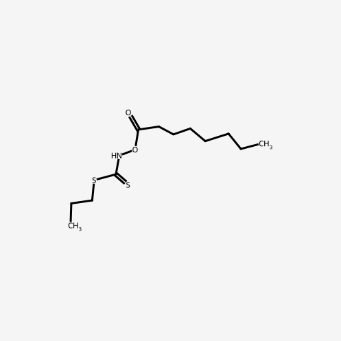 CCCCCCCC(=O)ONC(=S)SCCC